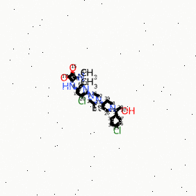 CC[C@H]1CN(c2ncc(Nc3c(N(C)C)c(=O)c3=O)cc2Cl)CCN1C1CCN(C(CO)c2ccc(Cl)cc2)CC1